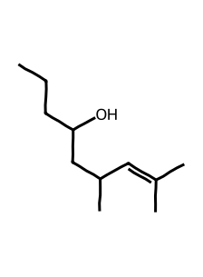 CCCC(O)CC(C)C=C(C)C